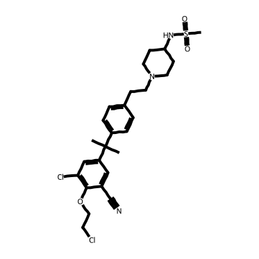 CC(C)(c1ccc(CCN2CCC(NS(C)(=O)=O)CC2)cc1)c1cc(Cl)c(OCCCl)c(C#N)c1